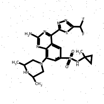 CC1CN(c2cc(S(=O)(=O)NC3(C)CC3)cc3c(-c4nnc(C(F)F)s4)nc(N)nc23)CC(C)N1